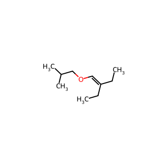 CCC(=COCC(C)C)CC